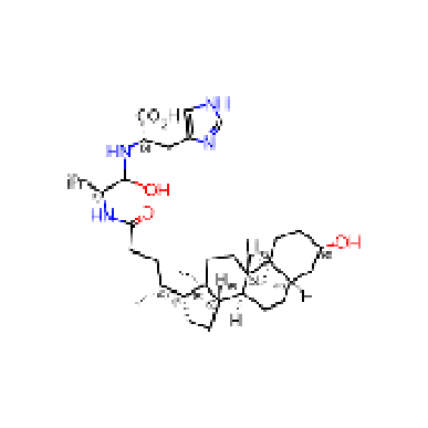 CC(C)[C@H](NC(=O)CC[C@@H](C)[C@H]1CC[C@H]2[C@@H]3CC[C@@H]4C[C@H](O)CC[C@]4(C)[C@H]3CC[C@]12C)C(O)N[C@@H](Cc1c[nH]cn1)C(=O)O